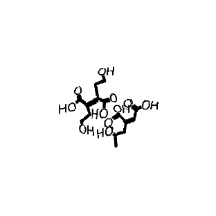 CC(O)CC(=CC(=O)O)C(=O)O.O=C(O)C(CCO)=C(CCO)C(=O)O